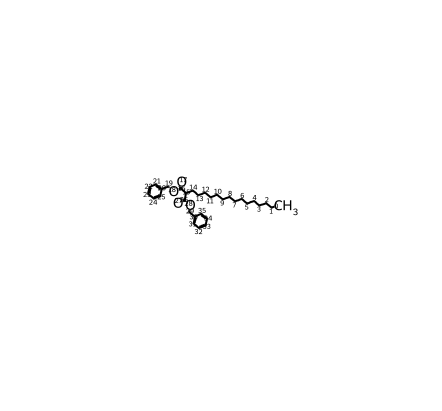 CCCCCCCCCCCCCCCC(C(=O)OCc1ccccc1)C(=O)OCc1ccccc1